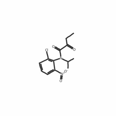 CCC(=O)C(=O)N(c1c(Cl)cccc1[N+](=O)[O-])C(C)C